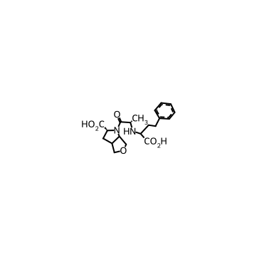 C[C@H](NC(CCc1ccccc1)C(=O)O)C(=O)N1C2COCC2C[C@H]1C(=O)O